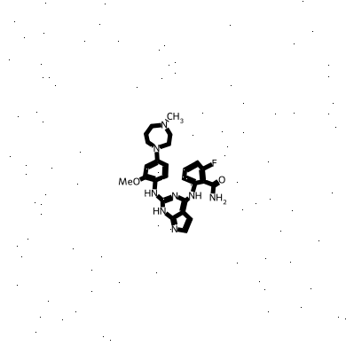 COc1cc(N2CCCN(C)CC2)ccc1Nc1nc(Nc2cccc(F)c2C(N)=O)c2ccnc-2[nH]1